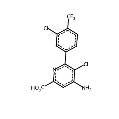 Nc1cc(C(=O)O)nc(-c2ccc(C(F)(F)F)c(Cl)c2)c1Cl